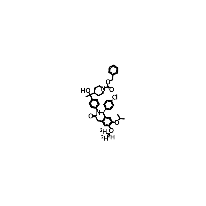 [2H]C([2H])([2H])Oc1cc2c(cc1OC(C)C)[C@H](c1ccc(Cl)cc1)N(c1ccc(C(C)(O)C3CCN(C(=O)OCc4ccccc4)CC3)cc1)C(=O)C2